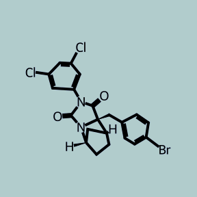 O=C1N(c2cc(Cl)cc(Cl)c2)C(=O)[C@]2(Cc3ccc(Br)cc3)[C@@H]3CC[C@@H](C3)N12